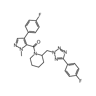 Cn1ncc(-c2ccc(F)cc2)c1C(=O)N1CCCCC1Cn1nnc(-c2ccc(F)cc2)n1